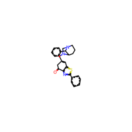 O=C1CC(CN2CN3CCCC2C3c2ccccc2)=Cc2sc(-c3ccccc3)nc21